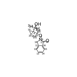 [2H]C([2H])(O)C1(C([2H])([2H])ON2Cc3ccccc3C2=O)CC1